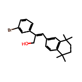 CC1(C)CCC(C)(C)c2cc(/C=C(\CO)c3cccc(Br)c3)ccc21